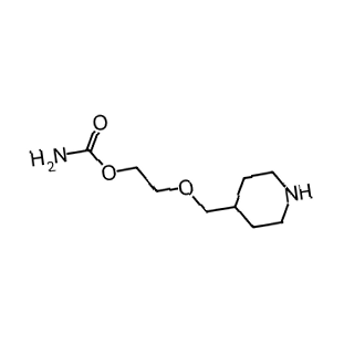 NC(=O)OCCOCC1CCNCC1